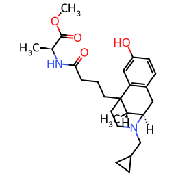 COC(=O)[C@H](C)NC(=O)CCCC12CCN(CC3CC3)[C@H](Cc3ccc(O)cc31)[C@@H]2C